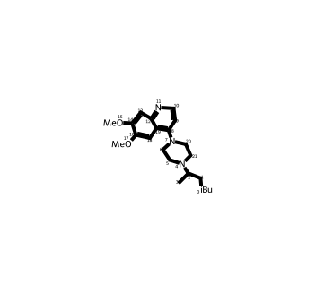 CCC(C)CC(C)N1CCN(c2ccnc3cc(OC)c(OC)cc23)CC1